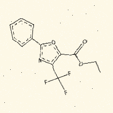 CCOC(=O)c1oc(-c2ccccc2)nc1C(F)(F)F